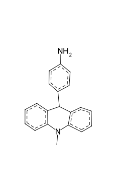 CN1c2ccccc2C(c2ccc(N)cc2)c2ccccc21